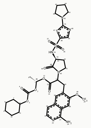 C[C@@H](OC(=O)OC1CCCCC1)OC(=O)C(Cc1cc2ccnc(N)c2cc1OC(F)(F)F)N1CC[C@H](NS(=O)(=O)c2cnc(N3CCCC3)s2)C1=O